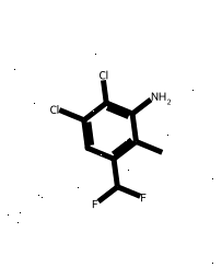 Cc1c(C(F)F)cc(Cl)c(Cl)c1N